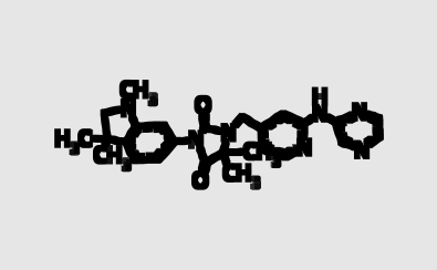 CN1CC(C)(C)c2ccc(N3C(=O)N(Cc4ccnc(Nc5cnccn5)c4)C(C)(C)C3=O)cc21